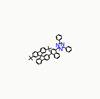 CC(C)(C)c1ccc2c(c1)C1(c3ccccc3-c3ccc(-c4ccc(-c5nc(-c6ccccc6)nc(-c6ccccc6)n5)c5ccccc45)cc31)c1cc(C(C)(C)C)ccc1-2